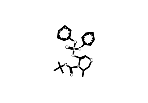 CC1COC=C(OP(=O)(Oc2ccccc2)Oc2ccccc2)N1C(=O)OC(C)(C)C